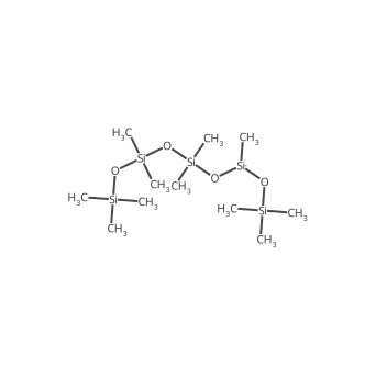 C[Si](O[Si](C)(C)C)O[Si](C)(C)O[Si](C)(C)O[Si](C)(C)C